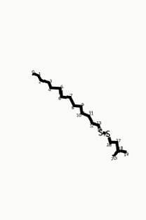 CCCCCCCCCCCCCCSSCCC(C)C